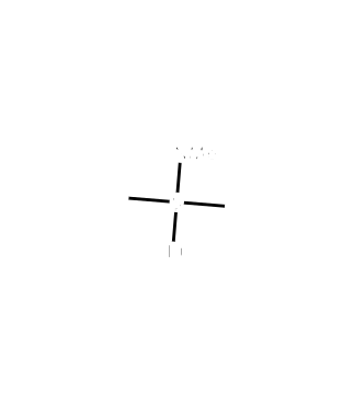 CCS(C)(C)NC